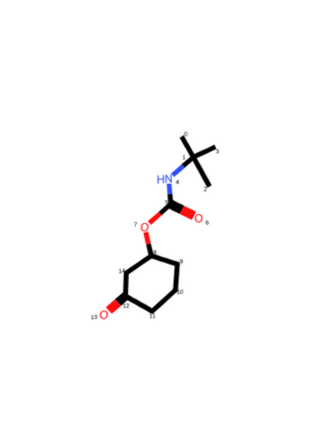 CC(C)(C)NC(=O)OC1CCCC(=O)C1